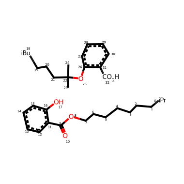 CC(C)CCCCCCCOC(=O)c1ccccc1O.CCC(C)CCCC(C)(C)Oc1ccccc1C(=O)O